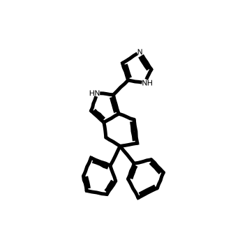 C1=CC(c2ccccc2)(c2ccccc2)Cc2c[nH]c(-c3cnc[nH]3)c21